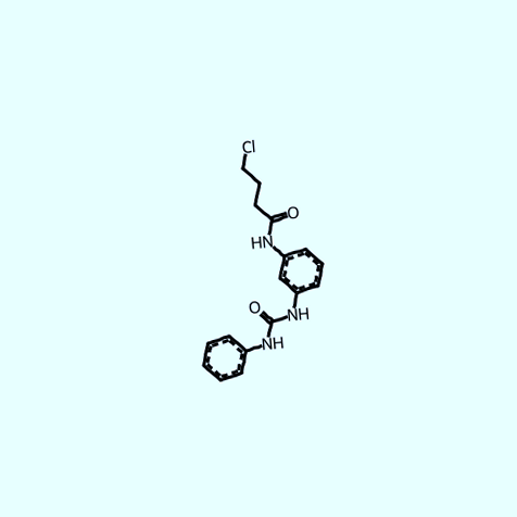 O=C(CCCCl)Nc1cccc(NC(=O)Nc2ccccc2)c1